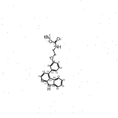 CC(C)(C)OC(=O)NCCOc1cccc(-c2ccnc3[nH]c4ccccc4c23)c1